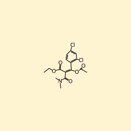 CCOC(=O)C(C(=O)N(C)C)=C(OC(C)=O)c1ccc(Cl)cc1Cl